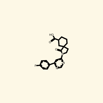 O=C(O)C1CCCC2(CCN(c3cc(-c4ccc(F)cc4)ncn3)C2=O)C1